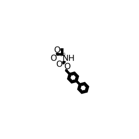 O=C(N[C@@H]1COC1=O)OCc1ccc(-c2ccccc2)cc1